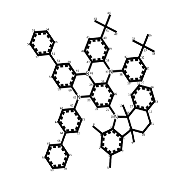 Cc1cc(C)c2c(c1)C1(C)CCc3ccccc3C1(C)N2c1cc2c3c(c1)N(c1cccc(C(C)(C)C)c1)c1cc(C(C)(C)C)ccc1B3c1cc(-c3ccccc3)ccc1N2c1ccc(-c2ccccc2)cc1